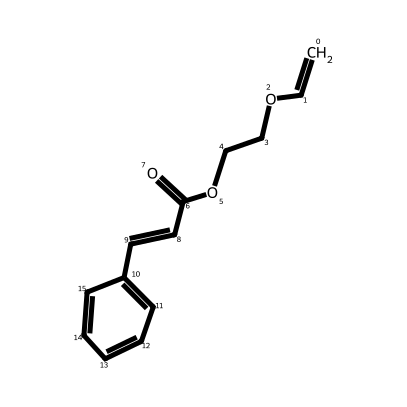 C=COCCOC(=O)C=Cc1ccccc1